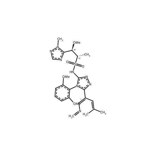 C=N/C=C(\C=C(C)C)c1nnc(NS(=O)(=O)[C@@H](C)[C@H](OC)c2ncnn2C)n1-c1c(OC)cccc1OC